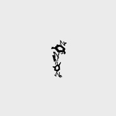 Cc1cc(N(C)C)cc(C)c1-n1cc[n+](-c2c(C)cc(N(C)C)cc2C)c1